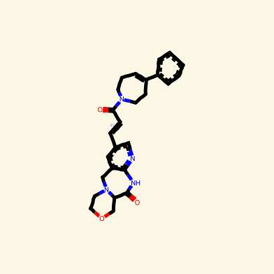 O=C1Nc2ncc(/C=C/C(=O)N3CCC=C(c4ccccc4)CC3)cc2CN2CCOCC12